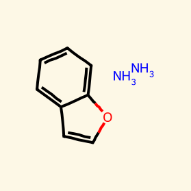 N.N.c1ccc2occc2c1